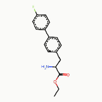 CCOC(=O)C(N)Cc1ccc(-c2ccc(F)cc2)cc1